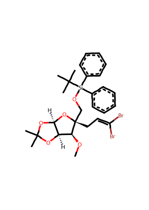 CO[C@H]1[C@H]2OC(C)(C)O[C@H]2O[C@]1(CC=C(Br)Br)CO[Si](c1ccccc1)(c1ccccc1)C(C)(C)C